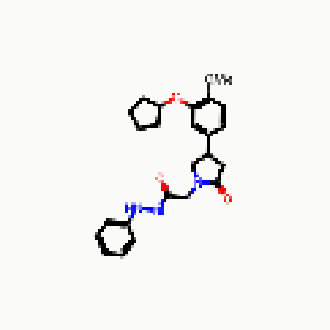 COc1ccc(C2CC(=O)N(CC(=O)NNc3ccccc3)C2)cc1OC1CCCC1